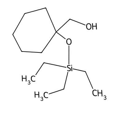 CC[Si](CC)(CC)OC1(CO)CCCCC1